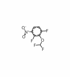 O=[N+]([O-])c1ccc(F)c(OC(F)F)c1F